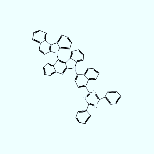 c1ccc(-c2nc(-c3ccccc3)nc(-c3ccc(-n4c5ccccc5c5c(-n6c7ccccc7c7c8ccccc8ccc76)c6ccccc6cc54)c4ccccc34)n2)cc1